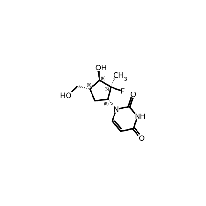 C[C@@]1(F)[C@H](O)[C@@H](CO)C[C@H]1n1ccc(=O)[nH]c1=O